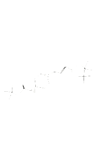 CC(C)(C)OC(=O)NC1CCN(CC=CB2OC(C)(C)C(C)(C)O2)CC1